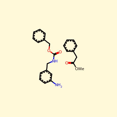 COC(=O)Cc1ccccc1.Nc1cccc(CNC(=O)OCc2ccccc2)c1